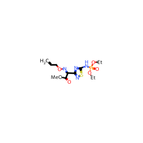 C=CCO/N=C(\C(=O)OC)c1nsc(NP(=O)(OCC)OCC)n1